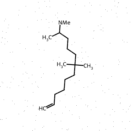 [CH]=CCCCCC(C)(C)CCCC(C)NC